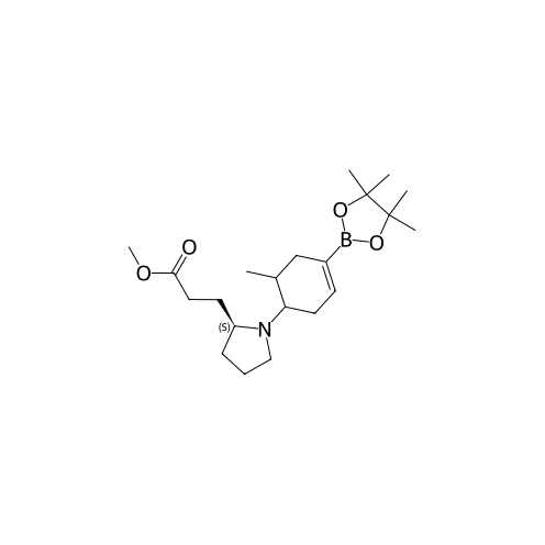 COC(=O)CC[C@@H]1CCCN1C1CC=C(B2OC(C)(C)C(C)(C)O2)CC1C